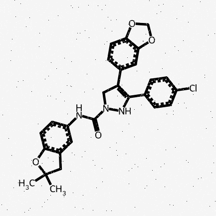 CC1(C)Cc2cc(NC(=O)N3CC(c4ccc5c(c4)OCO5)=C(c4ccc(Cl)cc4)N3)ccc2O1